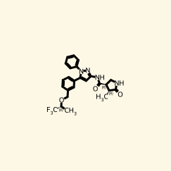 C[C@H]1C(=O)NC[C@@H]1C(=O)Nc1cc(-c2cccc(CO[C@H](C)C(F)(F)F)c2)n(-c2ccccc2)n1